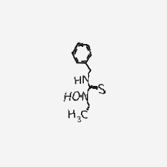 CCN(O)C(=S)NCc1ccccc1